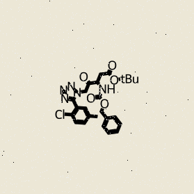 Cc1ccc(Cl)c(-c2nnnn2CC(=O)C(CC(=O)OC(C)(C)C)NC(=O)OCc2ccccc2)c1